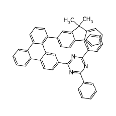 CC1(C)c2ccccc2-c2ccc(-c3cccc4c5ccccc5c5ccc(-c6nc(-c7ccccc7)nc(-c7ccccc7)n6)cc5c34)cc21